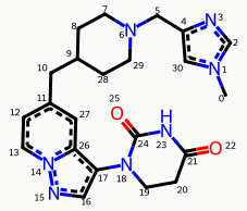 Cn1cnc(CN2CCC(Cc3ccn4ncc(N5CCC(=O)NC5=O)c4c3)CC2)c1